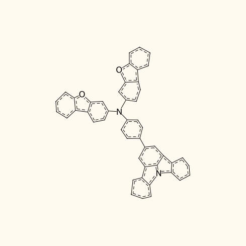 c1ccc2c(c1)oc1cc(N(c3ccc(-c4cc5c6ccccc6n6c7ccccc7c(c4)c56)cc3)c3ccc4c(c3)oc3ccccc34)ccc12